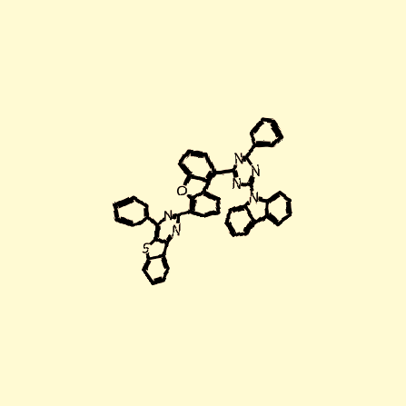 c1ccc(-c2nc(-c3cccc4oc5c(-c6nc(-c7ccccc7)c7sc8ccccc8c7n6)cccc5c34)nc(-n3c4ccccc4c4ccccc43)n2)cc1